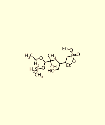 CCOP(=O)(CCC(CO)CC(C)(C)C(O[SiH2]C)O[SiH2]C)OCC